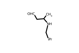 CC(C)CNC(C)C[C]=O